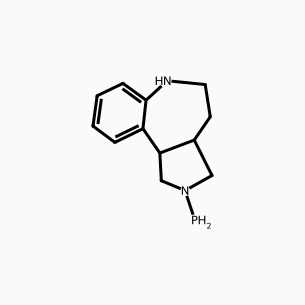 PN1CC2CCNc3ccccc3C2C1